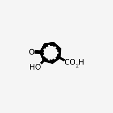 O=C(O)c1cccc(=O)c(O)c1